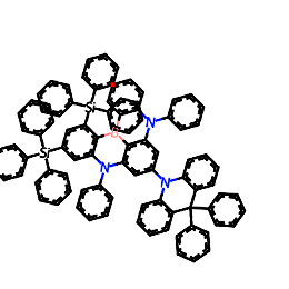 c1ccc(N2c3ccccc3B3c4c2cc(N2c5ccccc5C(c5ccccc5)(c5ccccc5)c5ccccc52)cc4N(c2ccccc2)c2cc([Si](c4ccccc4)(c4ccccc4)c4ccccc4)cc([Si](c4ccccc4)(c4ccccc4)c4ccccc4)c23)cc1